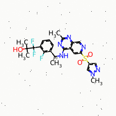 Cc1nc(N[C@H](C)c2cccc(C(F)(F)C(C)(C)O)c2F)c2cc(S(=O)(=O)c3cnn(C)c3)ncc2n1